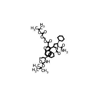 CC(C)OC(=O)OCOC(=O)c1oc2ccccc2c1C1C[C@@H](C2CCCCC2)[C@@H](C(N)=O)N1C(=O)[C@H]1CC[C@H](C(CF)NC(=O)OC(C)(C)C)CC1